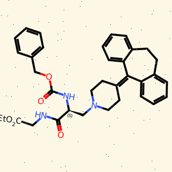 CCOC(=O)CNC(=O)[C@H](CN1CCC(=C2c3ccccc3CCc3ccccc32)CC1)NC(=O)OCc1ccccc1